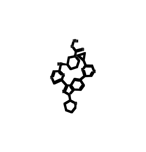 CC(C)(C)OC(=O)N1CCC[C@@H](Nc2cncc(-c3nn(C4CCCCO4)c4ccc(-c5cncc(C6CC6)n5)cc34)n2)C1